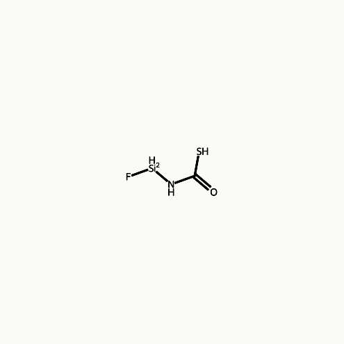 O=C(S)N[SiH2]F